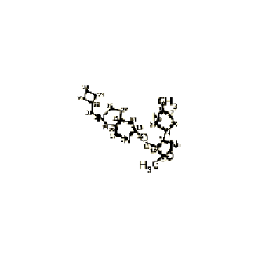 Cc1ccc(-c2noc(C)c2COc2cc3c(cn2)CN(CC2CCC2)CC3)cn1